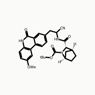 COc1ccc2[nH]c(=O)c3cc(CC(C#N)NC(=O)[C@@H]4[C@H]5CC[C@H](C5)N4C(=O)OC(C)(C)C)ccc3c2c1